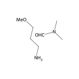 CN(C)C=O.COCCCN